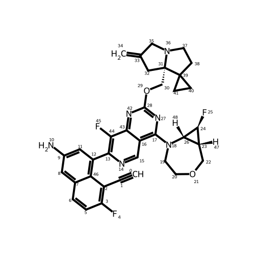 C#Cc1c(F)ccc2cc(N)cc(-c3ncc4c(N5CCOC[C@H]6[C@H](F)[C@H]65)nc(OC[C@]56CC(=C)CN5CCC65CC5)nc4c3F)c12